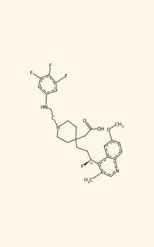 COc1ccc2ncc(C)c([C@@H](F)CCC3(CC(=O)O)CCN(CCNc4cc(F)c(F)c(F)c4)CC3)c2c1